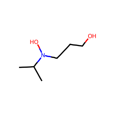 CC(C)N(O)CCCO